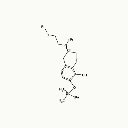 CCCN(CCOC(C)C)[C@H]1CCc2c(ccc(O[Si](C)(C)C(C)(C)C)c2O)C1